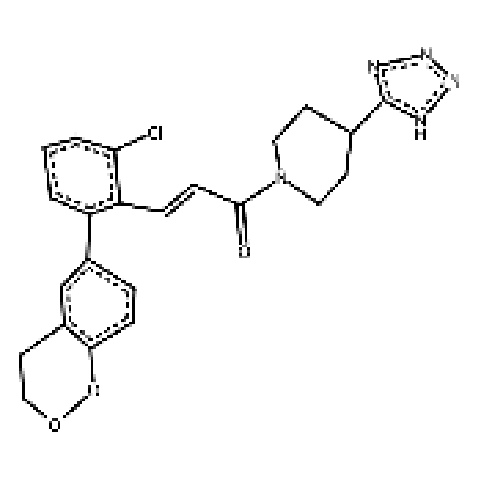 O=C(/C=C/c1c(Cl)[c]ccc1-c1ccc2c(c1)CCOO2)N1CCC(c2nnn[nH]2)CC1